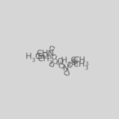 C[Si](C)(C)c1ccc(N(c2ccccc2)c2ccc3c(c2)oc2c4ccc(N(c5ccccc5)c5ccc([Si](C)(C)C)cc5)cc4c4ccccc4c32)cc1